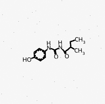 CCC(C)C(=O)NC(=O)Nc1ccc(O)cc1